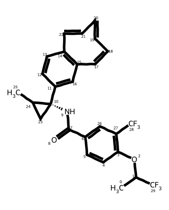 CC(Oc1ccc(C(=O)N[C@]2(c3ccc4c(c3)\C=C/C=C/C=C/4)CC2C)cc1C(F)(F)F)C(F)(F)F